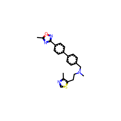 Cc1nc(-c2ccc(-c3ccc(CN(C)CCc4scnc4C)cc3)cc2)no1